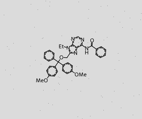 [CH2]Cn1c(COC(c2ccccc2)(c2ccc(OC)cc2)c2ccc(OC)cc2)nc2c(NC(=O)c3ccccc3)ncnc21